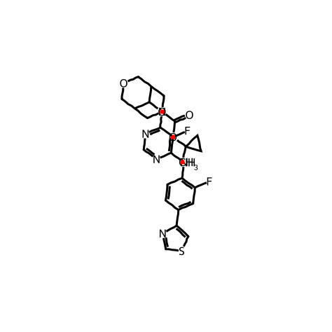 CC1(OC(=O)N2CC3COCC(C2)C3Oc2ncnc(Nc3ccc(-c4cscn4)cc3F)c2F)CC1